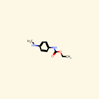 CCOC(=O)Nc1ccc(NC)cc1